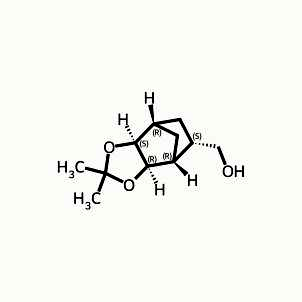 CC1(C)O[C@@H]2[C@@H]3C[C@@H](C[C@@H]3CO)[C@@H]2O1